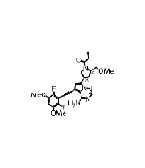 C=CC(=O)N1C[C@H](c2cc(C#Cc3c(F)c(OC)cc(OC)c3F)c3c(N)ncnn23)C[C@@H]1COC